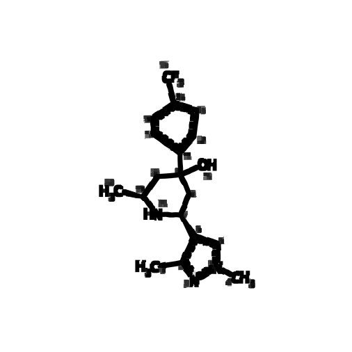 Cc1nn(C)cc1[C@@H]1CC(O)(c2ccc(C(F)(F)F)cc2)C[C@H](C)N1